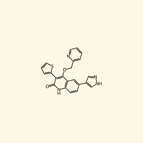 O=c1[nH]c2ccc(-c3cn[nH]c3)cc2c(OCc2ccccn2)c1-c1cccs1